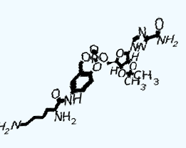 CC1(C)O[C@@H]2[C@H](O1)[C@@H](COP1(=O)OCc3cc(NC(=O)[C@@H](N)CCCCN)ccc3O1)O[C@H]2n1cnc(C(N)=O)n1